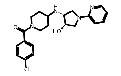 O=C(c1ccc(Cl)cc1)N1CCC(N[C@@H]2CN(c3ccccn3)C[C@H]2O)CC1